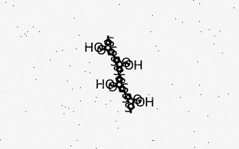 Cc1cc2c(s1)-c1sc(-c3cc4c(s3)-c3sc(-c5cc6c(s5)-c5sc(-c7cc8c(s7)C7SC(C)CC7C8OO)cc5C6OO)cc3C4OO)cc1C2OO